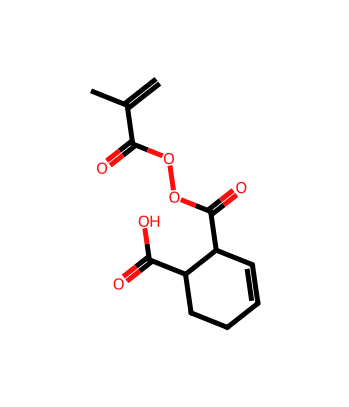 C=C(C)C(=O)OOC(=O)C1C=CCCC1C(=O)O